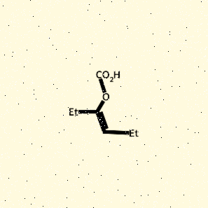 CCC=C(CC)OC(=O)O